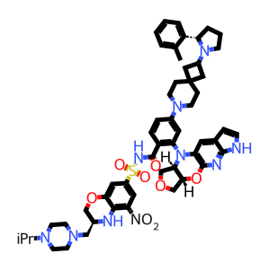 Cc1ccccc1[C@@H]1CCCN1C1CC2(CCN(c3ccc(C(=O)NS(=O)(=O)c4cc5c(c([N+](=O)[O-])c4)N[C@@H](CN4CCN(C(C)C)CC4)CO5)c(N4c5cc6cc[nH]c6nc5O[C@@H]5COC[C@H]54)c3)CC2)C1